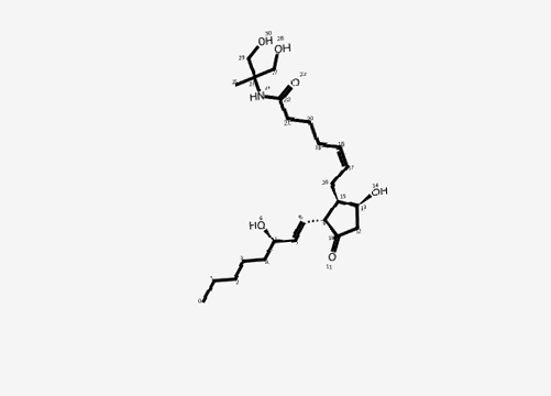 CCCCC[C@@H](O)/C=C/[C@H]1C(=O)C[C@H](O)[C@@H]1C/C=C\CCCC(=O)NC(C)(CO)CO